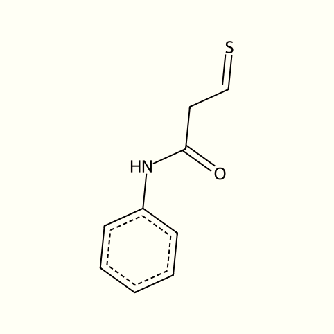 O=C(CC=S)Nc1ccccc1